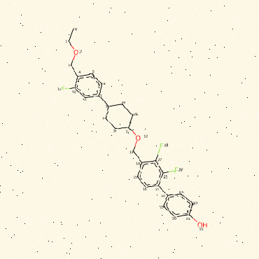 CCOCc1ccc(C2CCC(OCc3ccc(-c4ccc(O)cc4)c(F)c3F)CC2)cc1F